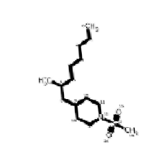 CCCCCCC(C)CC1CCN(S(C)(=O)=O)CC1